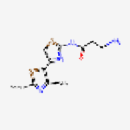 CC(=O)Nc1nc(C)c(-c2csc(NC(=O)CCN)n2)s1